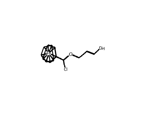 OCCCOC(Cl)[C]12[CH]3[CH]4[CH]5[CH]1[Fe]45321678[CH]2[CH]1[CH]6[CH]7[CH]28